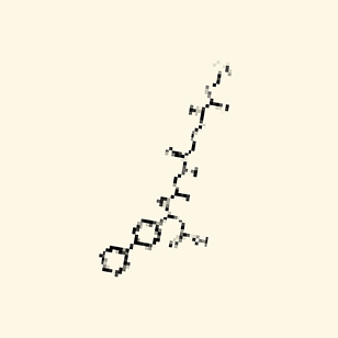 CCOC(=O)NCCCC(=O)NCC(=O)NC(CC(=O)O)c1ccc(-c2ccccc2)cc1